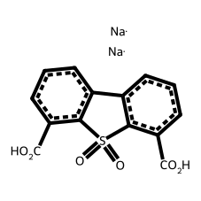 O=C(O)c1cccc2c1S(=O)(=O)c1c(C(=O)O)cccc1-2.[Na].[Na]